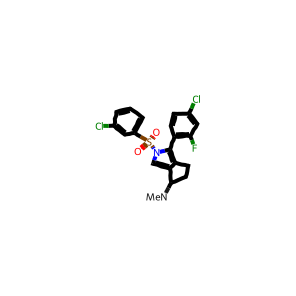 CNC1CCc2c1cn(S(=O)(=O)c1cccc(Cl)c1)c2-c1ccc(Cl)cc1F